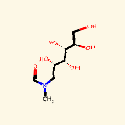 CN(C=O)C[C@H](O)[C@@H](O)[C@H](O)[C@H](O)CO